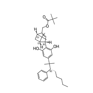 CCCCC[C@H](c1ccccc1)C(C)(C)c1cc(O)c([C@H]2C=C(COC(=O)C(C)(C)C)[C@H]3C[C@@H]2C3(C)C)c(O)c1